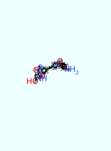 Cn1c(=O)n(C2CCC(O)NC2=O)c2ccc(C#CC3CCN(C(=O)C45CCC(N)(CC4)CC5)CC3)cc21